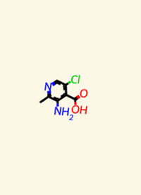 Cc1ncc(Cl)c(C(=O)O)c1N